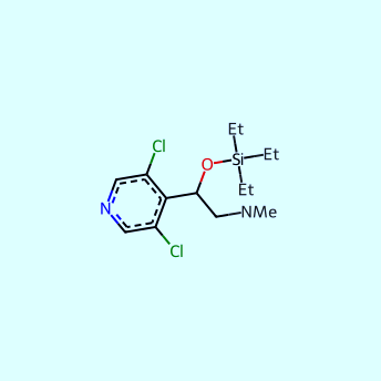 CC[Si](CC)(CC)OC(CNC)c1c(Cl)cncc1Cl